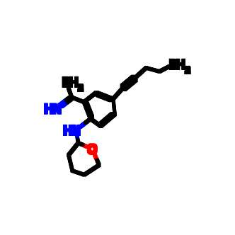 BCCC#Cc1ccc(NC2CCCCO2)c(C(B)=N)c1